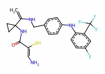 C=C(NCc1ccc(Nc2ccc(F)cc2C(F)(F)F)cc1)C1(NC(=O)/C(S)=C/N)CC1